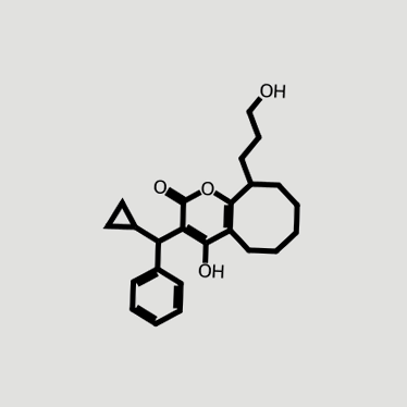 O=c1oc2c(c(O)c1C(c1ccccc1)C1CC1)CCCCCC2CCCO